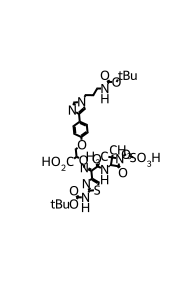 CC(C)(C)OC(=O)NCCCn1cnc(-c2ccc(OCC(O/N=C(\C(=O)N[C@@H]3C(=O)N(OS(=O)(=O)O)C3(C)C)c3csc(NC(=O)OC(C)(C)C)n3)C(=O)O)cc2)c1